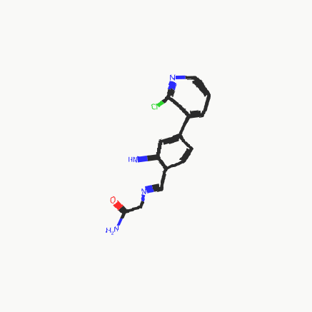 N=C1C=C(c2cccnc2Cl)C=CC1/C=N/CC(N)=O